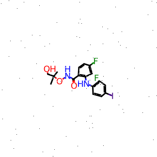 CC(C)(CO)ONC(=O)c1ccc(F)cc1Nc1ccc(I)cc1F